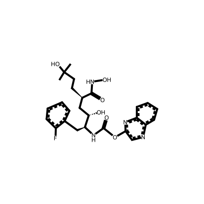 CC(C)(O)CC[C@H](C[C@H](O)[C@H](Cc1ccccc1F)NC(=O)Oc1cnc2ccccc2n1)C(=O)NO